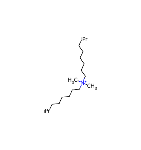 CC(C)CCCCCC[N+](C)(C)CCCCCCC(C)C